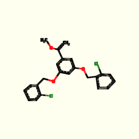 C=C(OC)c1cc(OCc2ccccc2Cl)cc(OCc2ccccc2Cl)c1